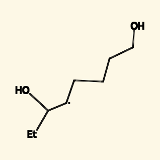 CCC(O)[CH]CCCCO